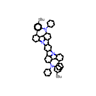 CC(C)(C)c1ccc(-c2cccc3c2c2c(N(c4ccccc4)c4ccccc4)ccc4c5cc6c(cc5n3c42)c2ccc(N(c3ccccc3)c3ccccc3)c3c4c(-c5ccc(C(C)(C)C)cc5)cccc4n6c23)cc1